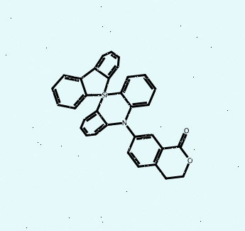 O=C1OCCc2ccc(N3c4ccccc4[Si]4(c5ccccc5-c5ccccc54)c4ccccc43)cc21